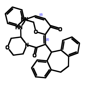 O=C1/C=C\NNC2COCCN2C(=O)/C(C2c3ccccc3CCc3ccccc32)=C/1OCc1ccccc1